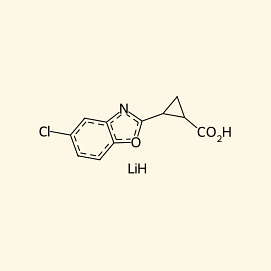 O=C(O)C1CC1c1nc2cc(Cl)ccc2o1.[LiH]